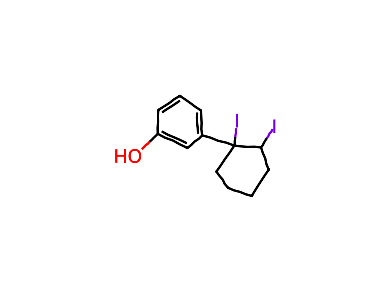 Oc1cccc(C2(I)CCCCC2I)c1